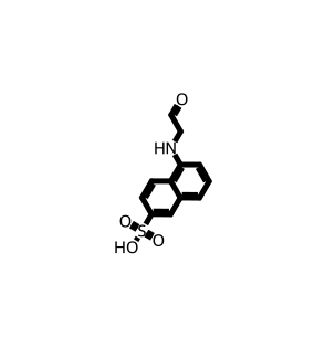 O=CCNc1cccc2cc(S(=O)(=O)O)ccc12